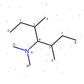 CCC(C)C(C(C)CC)N(C)C